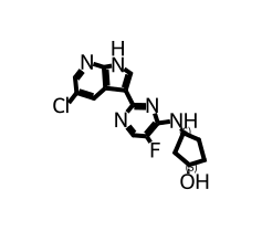 O[C@H]1CC[C@H](Nc2nc(-c3c[nH]c4ncc(Cl)cc34)ncc2F)C1